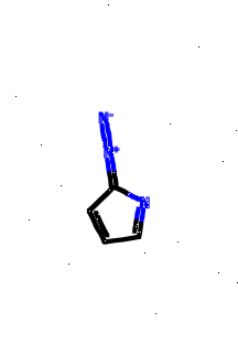 [N-]=[N+]=C1C=CC=N1